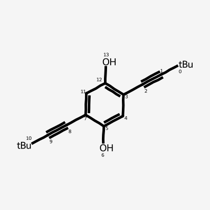 CC(C)(C)C#Cc1cc(O)c(C#CC(C)(C)C)cc1O